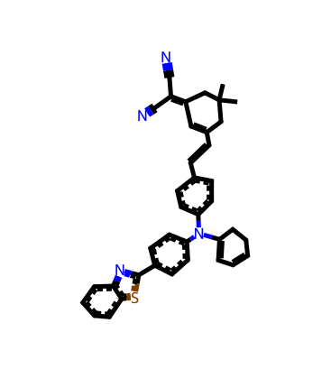 CC1(C)CC(C=Cc2ccc(N(C3=CC=CCC3)c3ccc(-c4nc5ccccc5s4)cc3)cc2)=CC(=C(C#N)C#N)C1